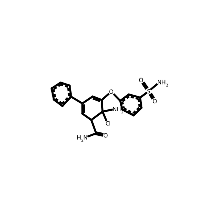 NC(=O)C1C=C(c2ccccc2)C=C(Oc2cccc(S(N)(=O)=O)c2)C1(N)Cl